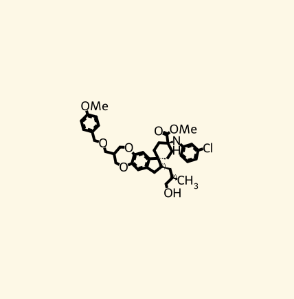 COc1ccc(COCC2COc3cc4c(cc3OC2)[C@]2(CC[C@@](Nc3cccc(Cl)c3)(C(=O)OC)CC2)[C@@H](C[C@@H](C)CO)C4)cc1